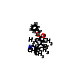 C/N=C\C1[C@@H](C)[C@@]1(C)CC(/C(C)=C(\C)C(=O)OCc1ccccc1)C(C)C